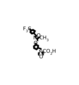 Cc1oc(-c2ccc(C(F)(F)F)cc2)nc1COc1cccc(CN2CCOC[C@H]2C(=O)O)c1